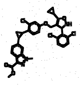 COC(=O)c1nn(C)c2cc(C3CC3c3ccc(OCC4=C(C5CC5)ONC4c4c(Cl)cccc4Cl)cc3Cl)ccc12